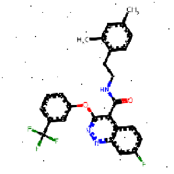 Cc1ccc(CCNC(=O)c2c(Oc3cccc(C(F)(F)F)c3)nnc3cc(F)ccc23)c(C)c1